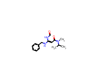 CC(C)N(C)C(=O)/C=C(\NC=O)NCc1ccccc1